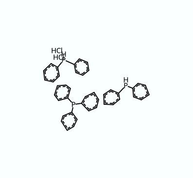 Cl.Cl.c1ccc(P(c2ccccc2)c2ccccc2)cc1.c1ccc(Pc2ccccc2)cc1.c1ccc(Pc2ccccc2)cc1